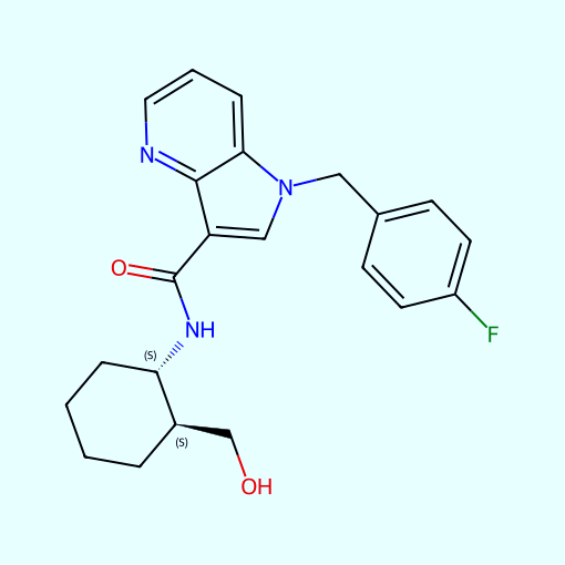 O=C(N[C@H]1CCCC[C@@H]1CO)c1cn(Cc2ccc(F)cc2)c2cccnc12